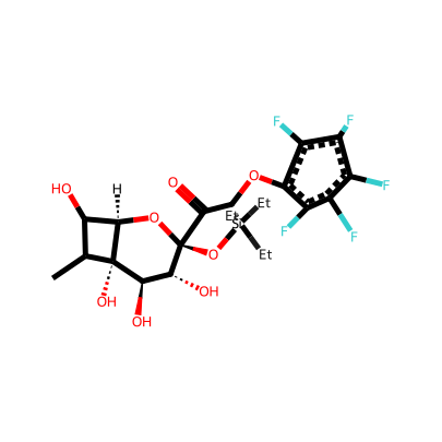 CC[Si](CC)(CC)O[C@]1(C(=O)COc2c(F)c(F)c(F)c(F)c2F)O[C@@H]2C(O)C(C)[C@]2(O)[C@H](O)[C@H]1O